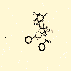 C[C@@]1(COC(=O)c2ccccc2)[C@@H](COC(=O)c2ccccc2)O[C@@H](n2cnc3c(Cl)nc(Cl)nc32)C1(F)F